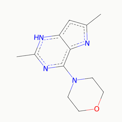 Cc1cc2[nH]c(C)nc(N3CCOCC3)c-2n1